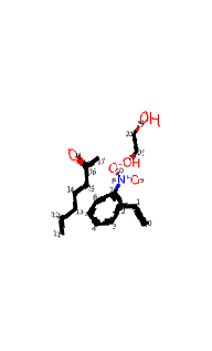 C=Cc1ccccc1[N+](=O)[O-].CCCCCC(C)=O.OCCO